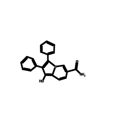 NC(=O)c1ccc2c(O)c(-c3ccccc3)c(-c3ccccc3)n2c1